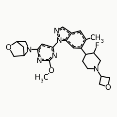 COc1nc(N2CC3CC2CO3)cc(-n2ncc3cc(C)c(C4CCN(C5COC5)CC4F)cc32)n1